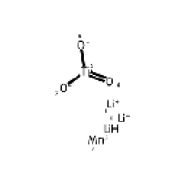 [Li+].[Li+].[LiH].[Mn].[O]=[Ti]([O-])[O-]